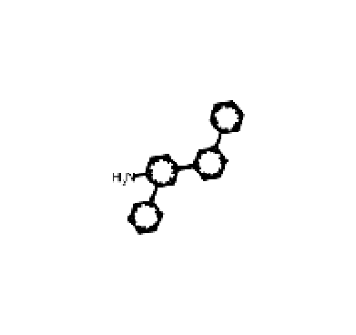 Nc1ccc(-c2cccc(-c3ccccc3)c2)cc1-c1ccccc1